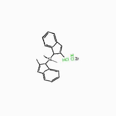 CC1=Cc2ccccc2C1[Si](C)(C)C1C(C)=Cc2ccccc21.Cl.Cl.[Zr]